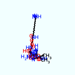 CCCC[C@H](NC(=O)[C@H](Cc1c[nH]cn1)NC(=O)[C@H](Cc1c[nH]cn1)NC(=O)[C@H](CCC(N)=O)NC(=O)[C@H](CO)NC(=O)CNC(=O)COCCOCCNC(=O)CCCCCCCCCCCCCCCc1nnn[nH]1)C(=O)NC